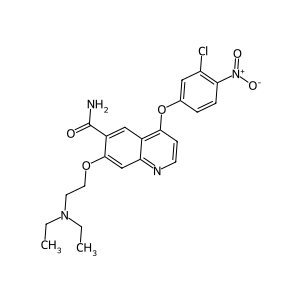 CCN(CC)CCOc1cc2nccc(Oc3ccc([N+](=O)[O-])c(Cl)c3)c2cc1C(N)=O